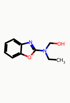 CCN(CO)c1nc2ccccc2o1